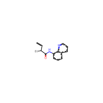 C=CC(CC)C(=O)Nc1cccc2cccnc12